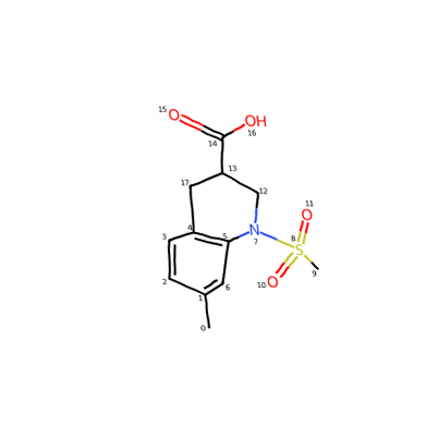 Cc1ccc2c(c1)N(S(C)(=O)=O)CC(C(=O)O)C2